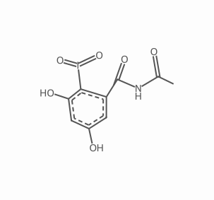 CC(=O)NC(=O)c1cc(O)cc(O)c1I(=O)=O